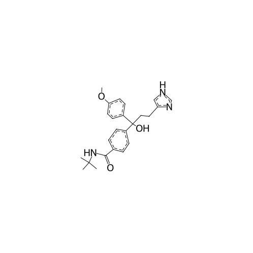 COc1ccc(C(O)(CCc2c[nH]cn2)c2ccc(C(=O)NC(C)(C)C)cc2)cc1